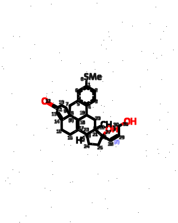 CSc1ccc2c(c1)C[C@]13CCC(=O)C=C1CCC1=C3C2C[C@@]2(C)[C@H]1CC[C@@]2(O)/C=C\CO